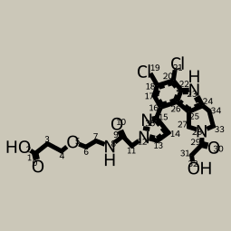 O=C(O)CCOCCNC(=O)Cn1ccc(-c2cc(Cl)c(Cl)c3[nH]c4c(c23)CN(C(=O)CO)CC4)n1